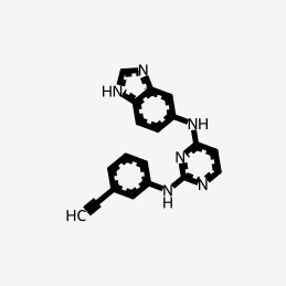 C#Cc1cccc(Nc2nccc(Nc3ccc4[nH]cnc4c3)n2)c1